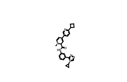 CN1C=CC(c2ccc(C3CCC3)nc2)=CC1C(=O)Nc1cccc(-c2nncn2C2CC2)c1